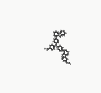 Cc1ccc(N(c2ccc(-c3cccc4c3sc3ccccc34)cc2)c2ccc(-c3cccc4c3sc3ccc(C)cc34)cc2)cc1